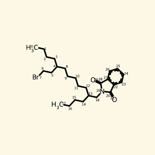 CCCCC(CCBr)CCCCCC(CCCC)CN1C(=O)c2ccccc2C1=O